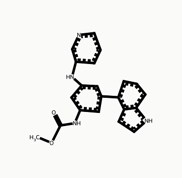 COC(=O)Nc1cc(Nc2cccnc2)cc(-c2cccc3[nH]ccc23)c1